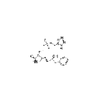 O=C1NC[C@H](/C=C/C(O)Cc2ccccc2)N1CCCC(F)(F)CCc1nnn[nH]1